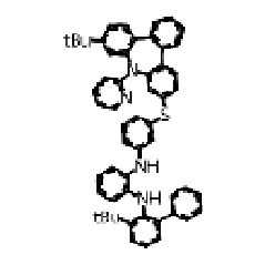 CC(C)(C)c1ccc2c(c1)N(c1ccccn1)c1cc(Sc3cccc(Nc4ccccc4Nc4c(-c5ccccc5)cccc4C(C)(C)C)c3)ccc1-c1ccccc1-2